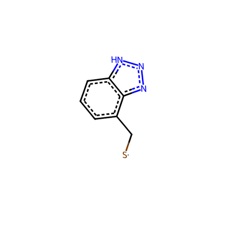 [S]Cc1cccc2[nH]nnc12